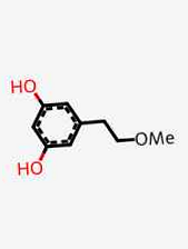 COCCc1cc(O)cc(O)c1